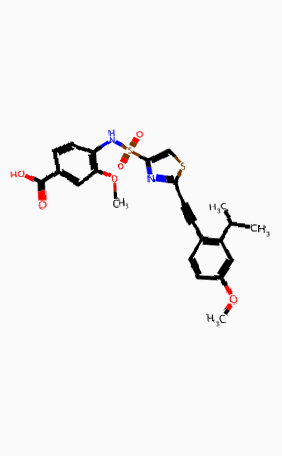 COc1ccc(C#Cc2nc(S(=O)(=O)Nc3ccc(C(=O)O)cc3OC)cs2)c(C(C)C)c1